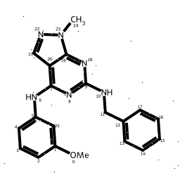 COc1cccc(Nc2nc(NCc3ccccc3)nc3c2cnn3C)c1